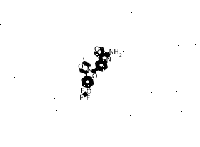 C[C@@H]1CN(C(=O)c2ccc3nc(N)c4c(c3c2)COC4)[C@@H](c2ccc(OC(F)(F)F)cc2)CO1